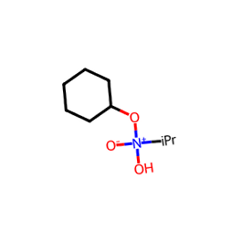 CC(C)[N+]([O-])(O)OC1CCCCC1